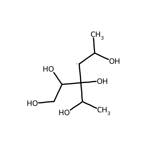 CC(O)[CH]C(O)(C(C)O)C(O)CO